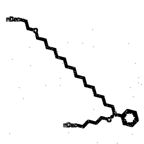 CCCCCCCCCCCCCCON(CCCCCCCCCCCCCCCCOCCCCCCCCCCCC)c1ccccc1